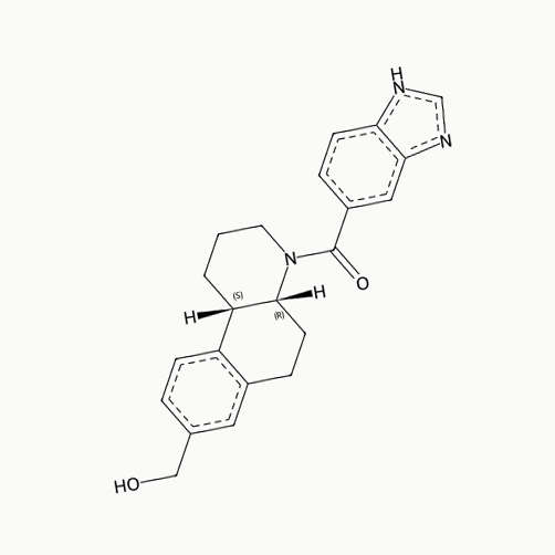 O=C(c1ccc2[nH]cnc2c1)N1CCC[C@H]2c3ccc(CO)cc3CC[C@H]21